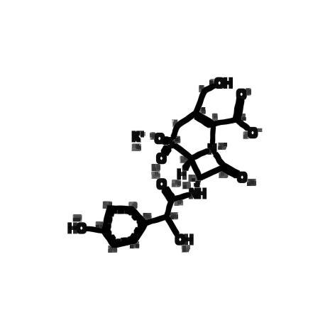 O=C([O-])C1=C(CO)CS(=O)(=O)[C@H]2[C@@H](NC(=O)C(O)c3ccc(O)cc3)C(=O)N12.[K+]